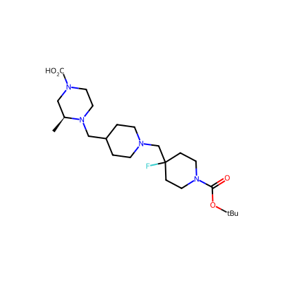 C[C@H]1CN(C(=O)O)CCN1CC1CCN(CC2(F)CCN(C(=O)OC(C)(C)C)CC2)CC1